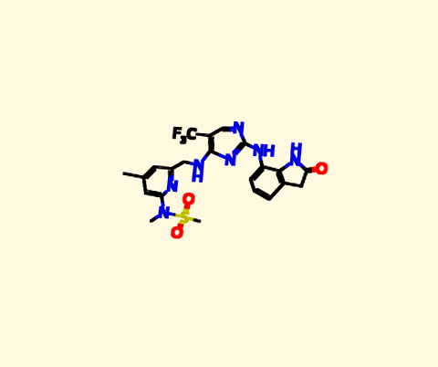 Cc1cc(CNc2nc(Nc3cccc4c3NC(=O)C4)ncc2C(F)(F)F)nc(N(C)S(C)(=O)=O)c1